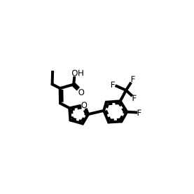 CCC(=Cc1ccc(-c2ccc(F)c(C(F)(F)F)c2)o1)C(=O)O